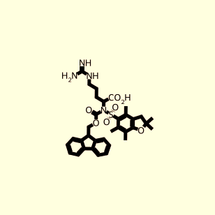 Cc1c(C)c(S(=O)(=O)N(C(=O)OCC2c3ccccc3-c3ccccc32)C(CCCNC(=N)N)C(=O)O)c(C)c2c1OC(C)(C)C2